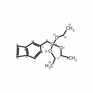 CCO[Si](Cc1ccc2c(c1)C=C2)(OCC)OCC